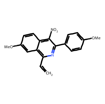 C=Cc1nc(-c2ccc(OC)cc2)c([N+](=O)[O-])c2ccc(OC)cc12